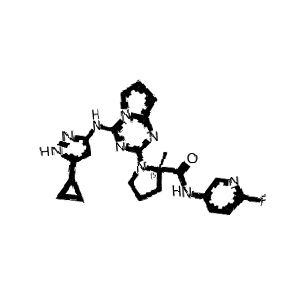 C[C@@]1(C(=O)Nc2ccc(F)nc2)CCCN1c1nc(Nc2cc(C3CC3)[nH]n2)n2cccc2n1